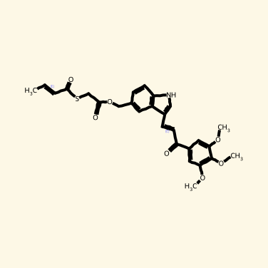 C/C=C/C(=O)SCC(=O)OCc1ccc2[nH]cc(/C=C/C(=O)c3cc(OC)c(OC)c(OC)c3)c2c1